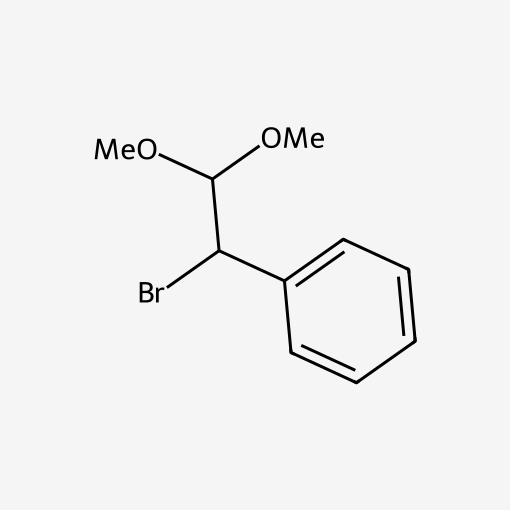 COC(OC)C(Br)c1ccccc1